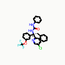 O=C(Nc1ccccc1)N[C@](Cc1ccccc1)(c1cccc(OC(F)(F)F)c1)c1ccc(Cl)cn1